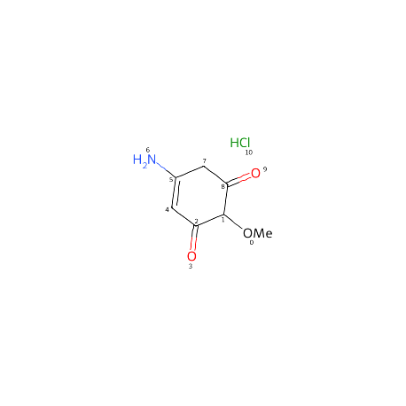 COC1C(=O)C=C(N)CC1=O.Cl